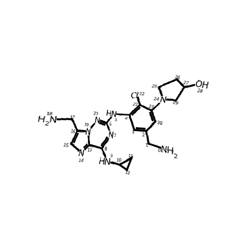 NCc1cc(Nc2nc(NC3CC3)c3ncc(CN)n3n2)c(Cl)c(N2CCC(O)C2)c1